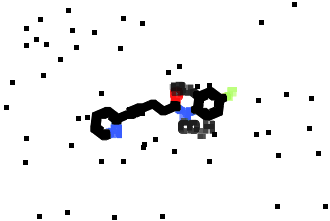 CC(C)(C)c1cc(F)ccc1N(C(=O)O)C(=O)CCC#Cc1ccccn1